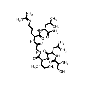 CC[C@H](C)[C@H](NC(=O)[C@H](CC(C)C)NC(=O)[C@@H](N)CO)C(=O)NCC(=O)N[C@@H](CCCN=C(N)N)C(=O)N[C@@H](CC(C)C)C(N)=O